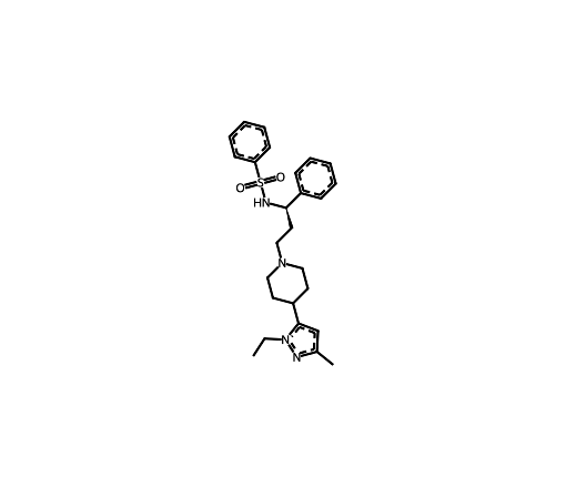 CCn1nc(C)cc1C1CCN(CC[C@@H](NS(=O)(=O)c2ccccc2)c2ccccc2)CC1